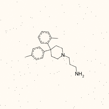 Cc1ccc(C2(c3ccccc3C)CCN(CCCN)CC2)cc1